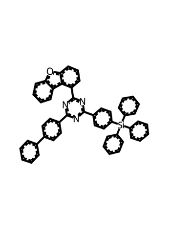 c1ccc(-c2ccc(-c3nc(-c4ccc([Si](c5ccccc5)(c5ccccc5)c5ccccc5)cc4)nc(-c4cccc5oc6ccccc6c45)n3)cc2)cc1